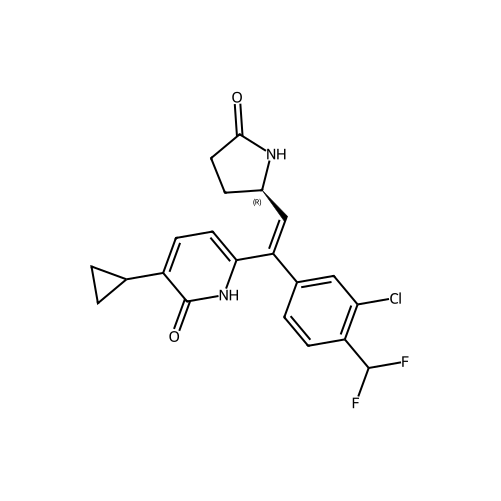 O=C1CC[C@H](C=C(c2ccc(C(F)F)c(Cl)c2)c2ccc(C3CC3)c(=O)[nH]2)N1